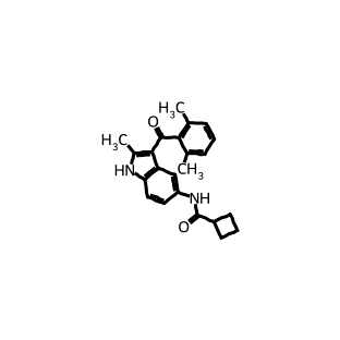 Cc1cccc(C)c1C(=O)c1c(C)[nH]c2ccc(NC(=O)C3CCC3)cc12